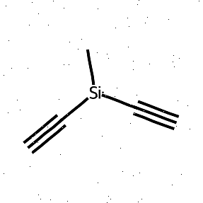 C#C[Si](C)C#C